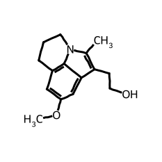 COc1cc2c3c(c1)c(CCO)c(C)n3CCC2